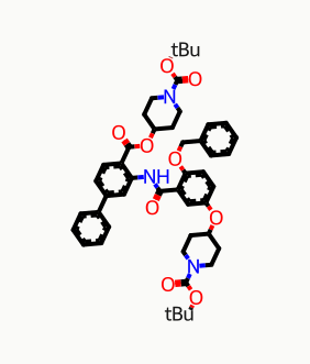 CC(C)(C)OC(=O)N1CCC(OC(=O)c2ccc(-c3ccccc3)cc2NC(=O)c2cc(OC3CCN(C(=O)OC(C)(C)C)CC3)ccc2OCc2ccccc2)CC1